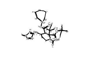 Cn1nnc(NC2CCN(C(=O)O)C(C(=O)OC(C)(C)C)(C(C)(C)C)C2C(=O)ON2CCCCC2)n1